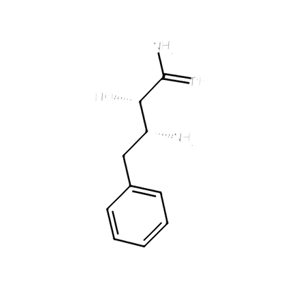 NC(=P)[C@@H](O)[C@H](N)Cc1ccccc1